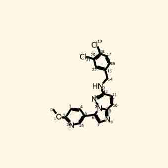 COc1ccc(-c2cnc3ccc(NCc4ccc(Cl)c(Cl)c4)nn23)cn1